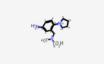 CN(Cc1cc(N)ccc1N1CCCC1)C(=O)O